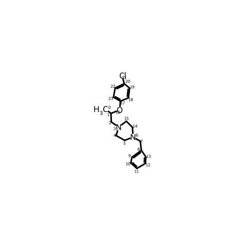 CC(CN1CCN(Cc2ccccc2)CC1)Oc1ccc(Cl)cc1